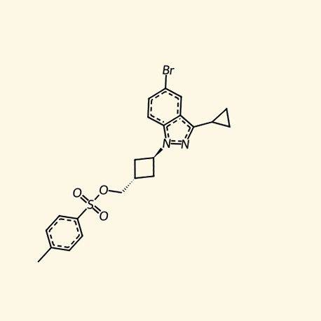 Cc1ccc(S(=O)(=O)OC[C@H]2C[C@H](n3nc(C4CC4)c4cc(Br)ccc43)C2)cc1